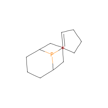 C1=C(P2C3CCCC2CCC3)CCC1